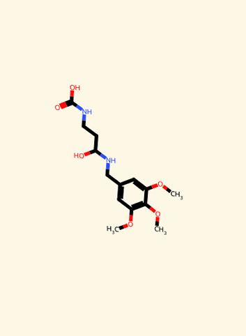 COc1cc(CNC(O)CCNC(=O)O)cc(OC)c1OC